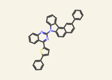 c1ccc(-c2ccc3ccc4c(c3c2)c2ccccc2n4-c2nc(-c3ccc(-c4ccccc4)s3)c3ccccc3n2)cc1